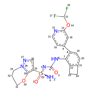 N[S@](=O)(=NC(=O)Nc1c(-c2ccnc(OC(F)F)c2)ccc2c1CC2)c1cnn2c1OCCC2